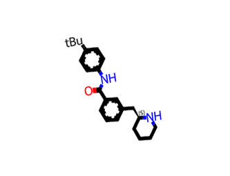 CC(C)(C)c1ccc(NC(=O)c2cccc(C[C@@H]3CCCCN3)c2)cc1